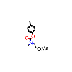 COCCN(C)C(=O)Oc1ccc(C)cc1